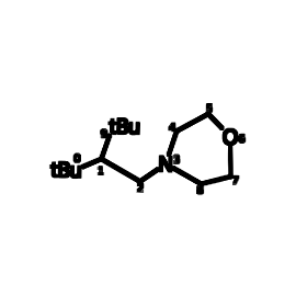 CC(C)(C)C(CN1CCOCC1)C(C)(C)C